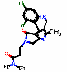 CCN(CC)C(=O)CCN1Cc2nc(C)c(CN)c(-c3ccc(Cl)cc3Cl)c2C1=O